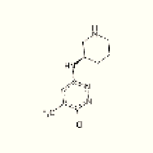 FC(F)(F)c1cc(N[C@@H]2CCCNC2)nnc1Cl